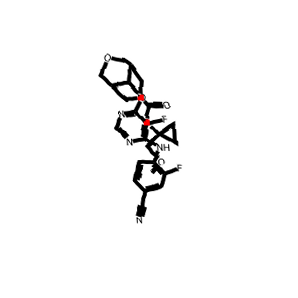 COCC1(OC(=O)N2CC3COCC(C2)C3Oc2ncnc(Nc3ccc(C#N)cc3F)c2F)CC1